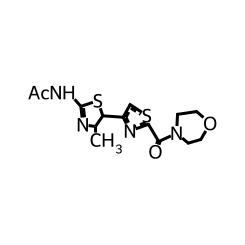 CC(=O)NC1=NC(C)C(c2csc(C(=O)N3CCOCC3)n2)S1